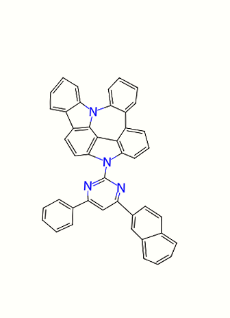 c1ccc(-c2cc(-c3ccc4ccccc4c3)nc(-n3c4cccc5c6ccccc6n6c7ccccc7c7ccc3c(c54)c76)n2)cc1